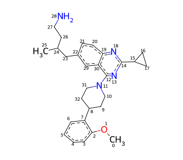 COc1ccccc1C1CCN(c2nc(C3CC3)nc3ccc(CC(C)CCN)cc23)CC1